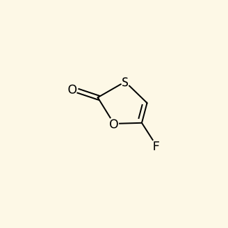 O=c1oc(F)cs1